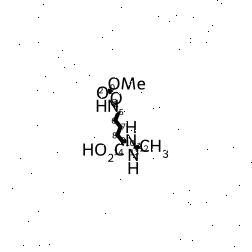 COC(=O)ONCCCC[C@H](NC(C)=N)C(=O)O